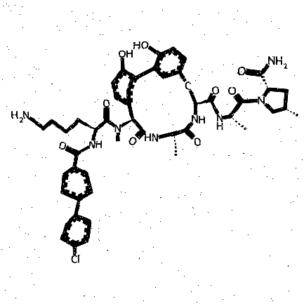 C[C@H]1C[C@@H](C(N)=O)N(C(=O)[C@H](C)NC(=O)[C@@H]2Cc3ccc(O)c(c3)-c3cc(ccc3O)[C@H](N(C)C(=O)[C@H](CCCCN)NC(=O)c3ccc(-c4ccc(Cl)cc4)cc3)C(=O)N[C@@H](C)C(=O)N2)C1